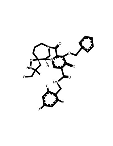 CC1(CF)C[C@]2(CCCN3C[C@H]2n2cc(C(=O)NCc4c(F)cc(F)cc4F)c(=O)c(OCc4ccccc4)c2C3=O)ON1